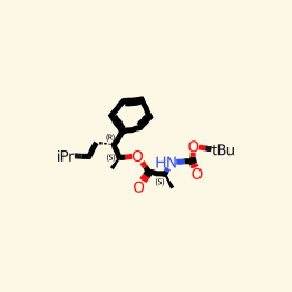 CC(C)CC[C@H](c1ccccc1)[C@H](C)OC(=O)[C@H](C)NC(=O)OC(C)(C)C